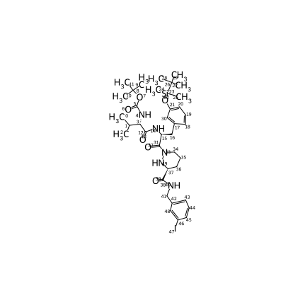 CC(C)[C@H](NC(=O)OC(C)(C)C)C(=O)N[C@@H](Cc1cccc(O[Si](C)(C)C(C)(C)C)c1)C(=O)N1CCC[C@@H](C(=O)NCc2cccc(I)c2)N1